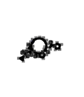 O=C1N[C@]2(C(=O)NS(=O)(=O)C3CC3)C[C@H]2/C=C\CCCCC[C@H](CC(=O)N2CCCC2)C(=O)N2CCC[C@@H]12